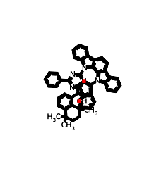 CC1(C)CCC(C)(C)c2c(-c3ccc(-n4c5ccccc5c5ccc6c7ccccc7n(-c7nc(-c8ccccc8)nc(-c8ccccc8)n7)c6c54)cc3)cccc21